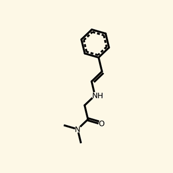 CN(C)C(=O)CNC=Cc1ccccc1